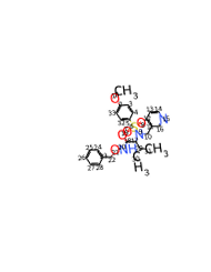 COc1ccc(S(=O)(=O)N(Cc2cccnc2)C(C(=O)NOCc2ccccc2)C(C)C)cc1